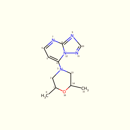 CC1CN(c2ccnc3ncnn23)CC(C)O1